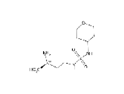 N[C@@H](CCNS(=O)(=O)NC1CCOCC1)C(=O)O